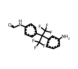 Nc1cccc(C(c2ccc(NC=O)cc2)(C(F)(F)F)C(F)(F)F)c1